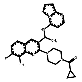 Cc1c(F)ccc2cc(C(C)Nc3ccnc4ccnn34)c(N3CCN(C(=O)C4CC4)CC3)nc12